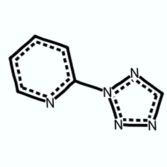 c1ccc(-n2ncnn2)nc1